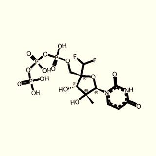 C[C@]1(O)[C@H](n2ccc(=O)[nH]c2=O)O[C@@](COP(=O)(O)OP(=O)(O)OP(=O)(O)O)(C(F)F)[C@H]1O